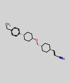 CCc1ccc([C@H]2CC[C@H](OC[C@H]3CC[C@H](C=CC#N)CC3)CC2)cc1